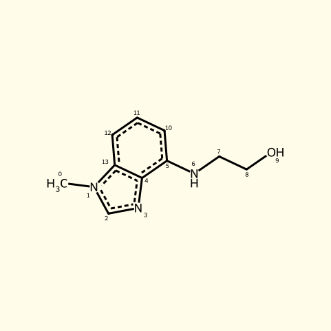 Cn1cnc2c(NCCO)cccc21